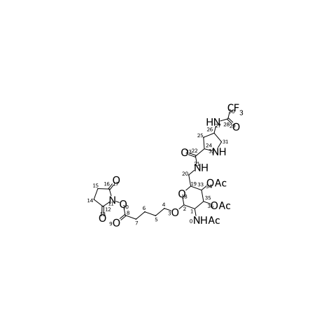 CC(=O)NC1C(OCCCCC(=O)ON2C(=O)CCC2=O)OC(CNC(=O)C2CC(NC(=O)C(F)(F)F)CN2)C(OC(C)=O)C1OC(C)=O